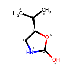 CC(C)[C@@H]1CNC(O)O1